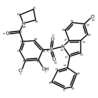 O=C(c1cc(Cl)c(O)c(S(=O)(=O)n2c(-c3ccccc3)cc3cc(Cl)ccc32)c1)N1CCC1